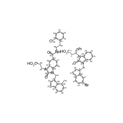 CCCC(CC(=O)O)n1c(=O)n(Cc2csc3ccc(Br)cc23)c2ccccc21.Cc1cccc2scc(Cn3c(=O)n(CCC(=O)O)c4cc(C(=O)NCCc5ccccc5Cl)ccc43)c12